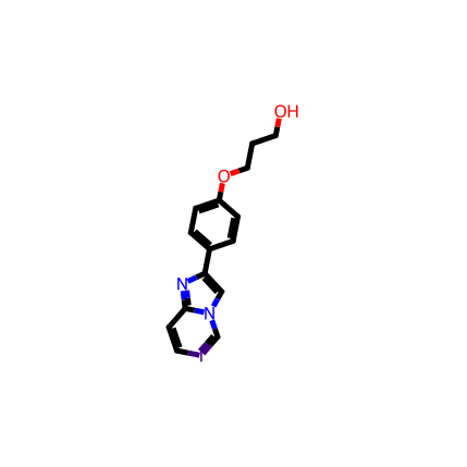 OCCCOc1ccc(-c2cn3c(n2)C=CI=C3)cc1